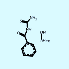 CCCCCCO.NC(=S)NC(=O)c1ccccc1